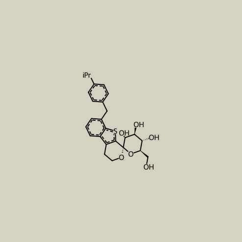 CC(C)c1ccc(Cc2cccc3c4c(sc23)[C@]2(OCC4)O[C@H](CO)[C@@H](O)[C@H](O)[C@H]2O)cc1